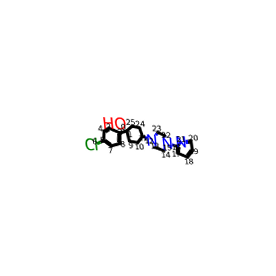 OC1(c2ccc(Cl)cc2)CCC(N2CCN(c3ccccn3)CC2)CC1